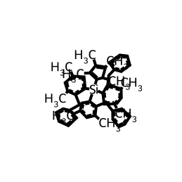 CC1=C(C)C(C)C([Si](c2cc(C)cc(C)c2Cc2ccccc2)(c2cc(C)cc(C)c2Cc2ccccc2)c2cc(C)cc(C)c2Cc2ccccc2)=C1C